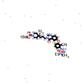 CCN(C)S(=O)(=O)Nc1ccc(F)c(Oc2ccc3ncn(CCCC4(C)CCN(C(=O)OC(C)(C)C)CC4)c(=O)c3c2)c1C#N